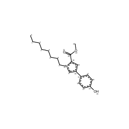 CCCCCCCCn1cc(-c2ccc(O)cc2)cc1C(=O)OC